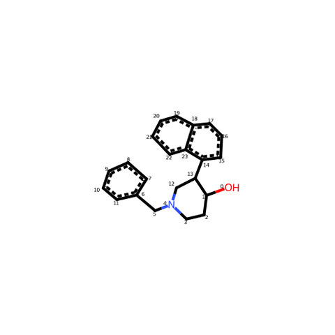 OC1CCN(Cc2ccccc2)CC1c1cccc2ccccc12